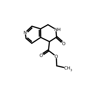 CCOC(=O)C1C(=O)NCc2cnccc21